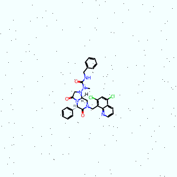 CN(C(=O)NCc1ccccc1)N1CC(=O)N2[C@@H](c3ccccc3)C(=O)N(Cc3c(Cl)cc(Cl)c4cccnc34)C[C@@H]21